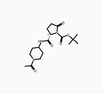 CC(=O)N1CCC(NC(=O)[C@@H]2CCC(=O)N2C(=O)OC(C)(C)C)CC1